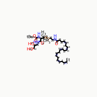 CC/C=C\C/C=C\C/C=C\C/C=C\C/C=C\C/C=C\CCC(=O)NCCSSC(C)(C)[C@@H](NC(=O)OC(C)(C)C)C(=O)NC[C@@H](O)CO